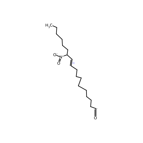 CCCCCCC(/C=C/CCCCCCCC[C]=O)[N+](=O)[O-]